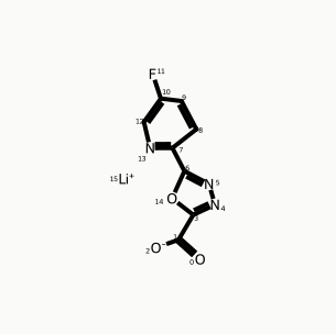 O=C([O-])c1nnc(-c2ccc(F)cn2)o1.[Li+]